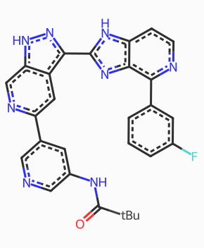 CC(C)(C)C(=O)Nc1cncc(-c2cc3c(-c4nc5c(-c6cccc(F)c6)nccc5[nH]4)n[nH]c3cn2)c1